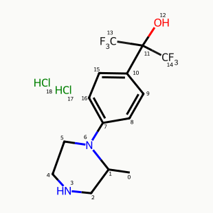 CC1CNCCN1c1ccc(C(O)(C(F)(F)F)C(F)(F)F)cc1.Cl.Cl